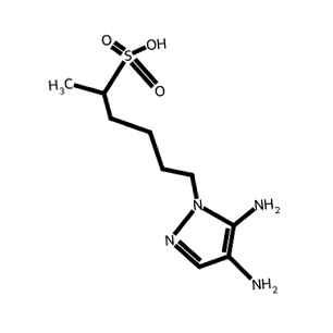 CC(CCCCn1ncc(N)c1N)S(=O)(=O)O